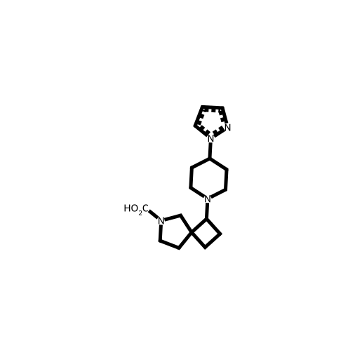 O=C(O)N1CCC2(CCC2N2CCC(n3cccn3)CC2)C1